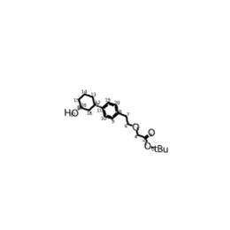 CC(C)(C)OC(=O)COCCc1ccc([C@@H]2CCC[C@@H](O)C2)cc1